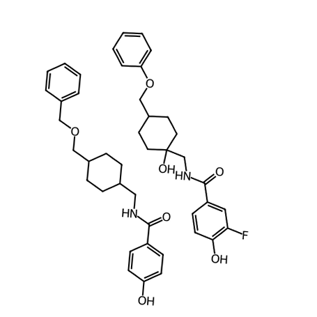 O=C(NCC1(O)CCC(COc2ccccc2)CC1)c1ccc(O)c(F)c1.O=C(NCC1CCC(COCc2ccccc2)CC1)c1ccc(O)cc1